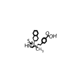 CN(CCc1ccc(C(=O)O)cc1)c1c[nH]c(=S)n1[C@H]1CCc2ccccc2C1